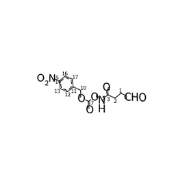 O=CCCC(=O)NOC(=O)OCc1ccc([N+](=O)[O-])cc1